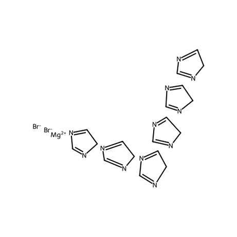 C1=NC=NC1.C1=NC=NC1.C1=NC=NC1.C1=NC=NC1.C1=NC=NC1.C1=NC=NC1.[Br-].[Br-].[Mg+2]